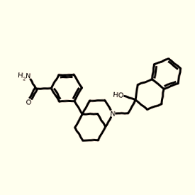 NC(=O)c1cccc(C23CCCC(C2)N(CC2(O)CCc4ccccc4C2)CC3)c1